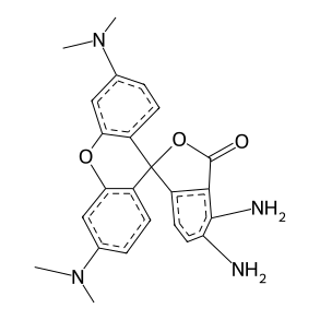 CN(C)c1ccc2c(c1)Oc1cc(N(C)C)ccc1C21OC(=O)c2c1ccc(N)c2N